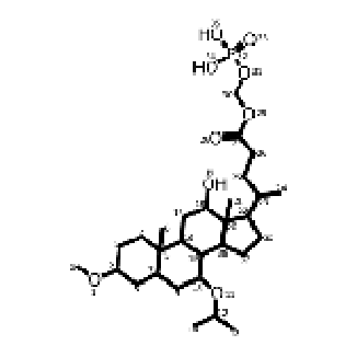 COC1CCC2(C)C(C1)CC(OC(C)C)C1C2CC(O)C2(C)C(C(C)CCC(=O)OCOP(=O)(O)O)CCC12